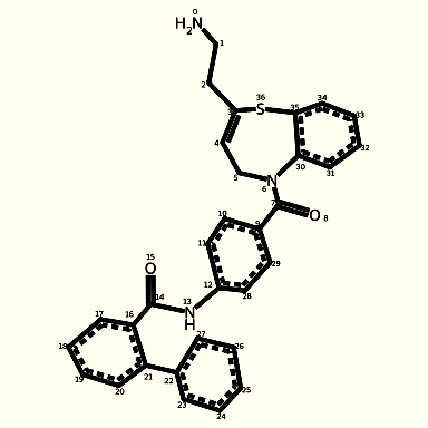 NCCC1=CCN(C(=O)c2ccc(NC(=O)c3ccccc3-c3ccccc3)cc2)c2ccccc2S1